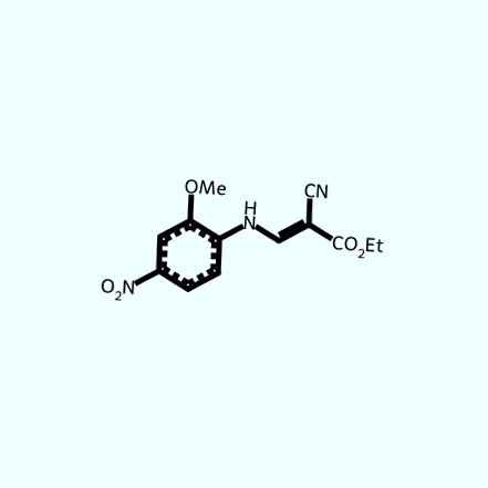 CCOC(=O)C(C#N)=CNc1ccc([N+](=O)[O-])cc1OC